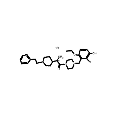 Br.CCOc1ccc(O)c(F)c1CN1CCN(C(=O)[C@H](N)C2CCN(CCc3ccccc3)CC2)CC1